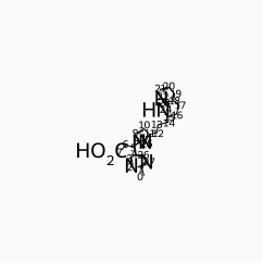 Cc1ncc(C(CC(=O)O)n2ccc(CCCC3CCc4cccnc4N3)n2)cn1